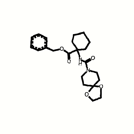 O=C(NC1(C(=O)OCc2ccccc2)CCCCC1)N1CCC2(CC1)OCCO2